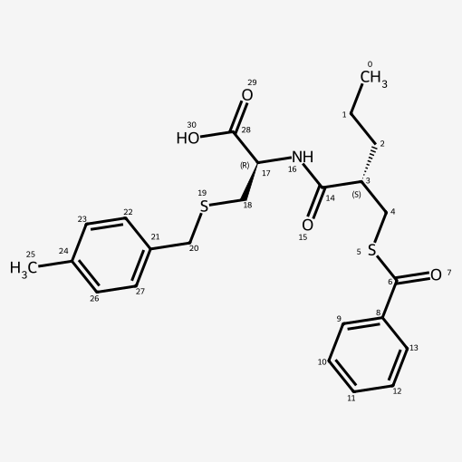 CCC[C@H](CSC(=O)c1ccccc1)C(=O)N[C@@H](CSCc1ccc(C)cc1)C(=O)O